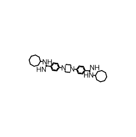 N=C(NC1CCCCCCC1)c1ccc(N2CCN(c3ccc(C(=N)NC4CCCCCCC4)cc3)CC2)cc1